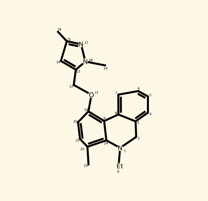 CCN1Cc2ccccc2-c2c(OCc3cc(C)nn3C)ccc(C)c21